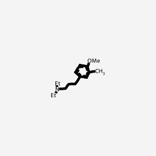 CCN(CC)CCCc1ccc(OC)c(C)c1